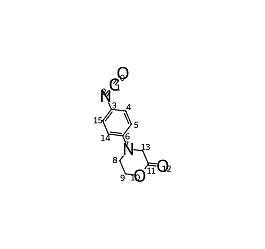 O=C=Nc1ccc(N2CCOC(=O)C2)cc1